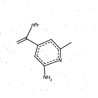 C=C(CCC)c1cc(C)nc(N)c1